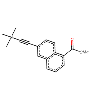 COC(=O)c1cccc2cc(C#C[Si](C)(C)C)ccc12